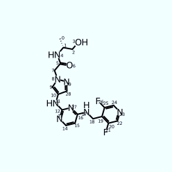 C[C@H](CO)NC(=O)Cn1cc(Nc2nccc(NCc3c(F)cncc3F)n2)cn1